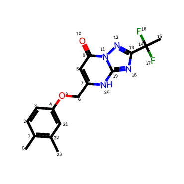 Cc1ccc(OCc2cc(=O)n3nc(C(C)(F)F)nc3[nH]2)cc1C